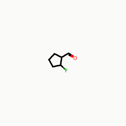 O=CC1CCCC1F